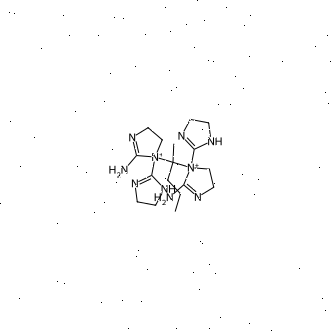 CCCC(C)([N+]1(C2=NCCN2)CCN=C1N)[N+]1(C2=NCCN2)CCN=C1N